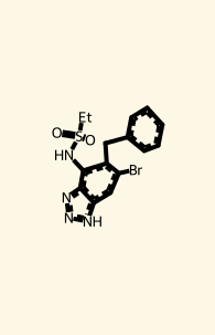 CCS(=O)(=O)Nc1c(Cc2ccccc2)c(Br)cc2[nH]nnc12